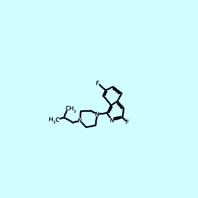 C[C](C)CN1CCN(c2nc(F)cc3ccc(F)cc23)CC1